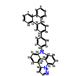 c1ccc2c(c1)c1ccccc1c1cc(-c3ccc(-n4c5cccc6c5c5c4cccc5n4nccc64)cc3)ccc21